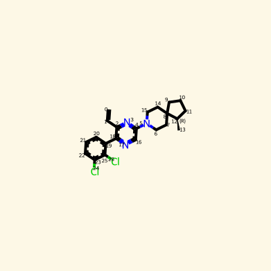 C=Cc1nc(N2CCC3(CCC[C@H]3C)CC2)cnc1-c1cccc(Cl)c1Cl